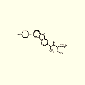 CC(C)CC(NC(c1ccc2c(c1)oc1ccc(C3CCN(C)CC3)cc12)C(F)(F)F)C(=O)O